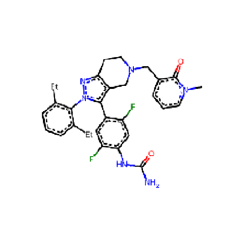 CCc1cccc(CC)c1-n1nc2c(c1-c1cc(F)c(NC(N)=O)cc1F)CN(Cc1cccn(C)c1=O)CC2